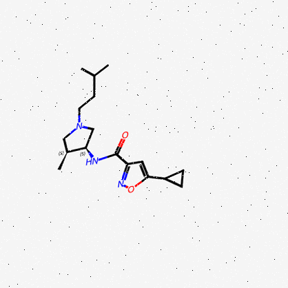 CC(C)CCN1C[C@H](C)[C@H](NC(=O)c2cc(C3CC3)on2)C1